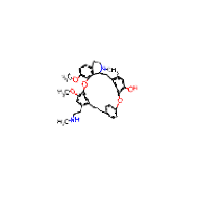 CNCCc1cc(OC)c2cc1CCc1ccc(cc1)Oc1cc(ccc1O)CC1c3c(ccc(OC)c3O2)CCN1C